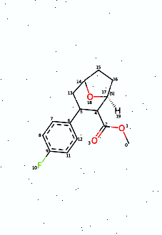 COC(=O)C1C(c2ccc(F)cc2)CC2CC[C@@H]1O2